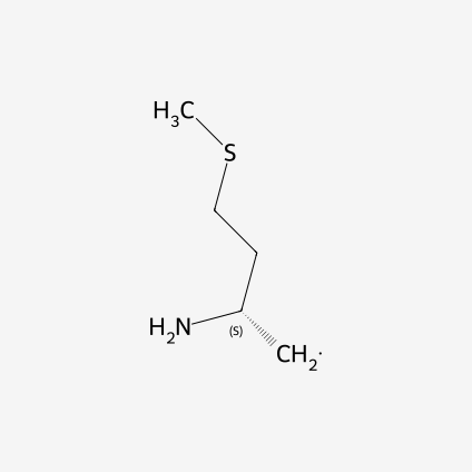 [CH2][C@H](N)CCSC